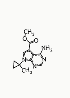 COC(=O)c1cn(C2(C)CC2)c2ncnc(N)c12